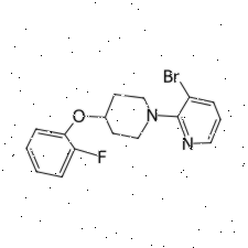 Fc1ccccc1OC1CCN(c2ncccc2Br)CC1